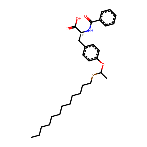 CCCCCCCCCCCCSC(C)Oc1ccc(C[C@H](NC(=O)c2ccccc2)C(=O)O)cc1